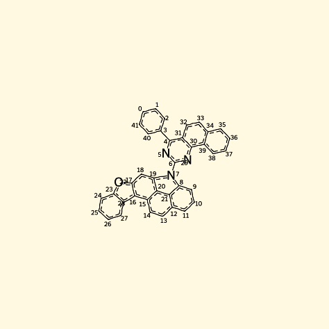 c1ccc(-c2nc(-n3c4cccc5ccc6c7c(cc3c6c54)oc3ccccc37)nc3c2ccc2ccccc23)cc1